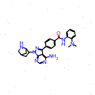 CN(C)c1ccccc1NC(=O)c1ccc(-c2nn(C3CC4CNC3C4)c3ncnc(N)c23)cc1